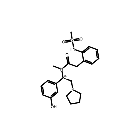 CN(C(=O)Cc1ccccc1NS(C)(=O)=O)[C@@H](CN1CCCC1)c1cccc(O)c1